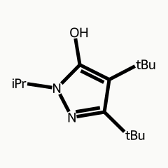 CC(C)n1nc(C(C)(C)C)c(C(C)(C)C)c1O